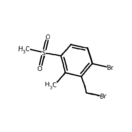 Cc1c(S(C)(=O)=O)ccc(Br)c1CBr